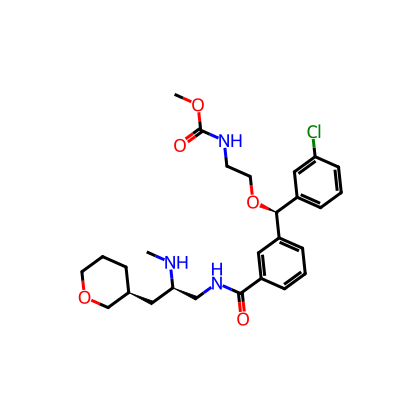 CN[C@@H](CNC(=O)c1cccc([C@@H](OCCNC(=O)OC)c2cccc(Cl)c2)c1)C[C@@H]1CCCOC1